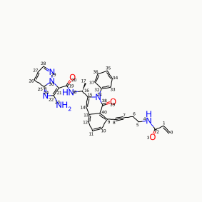 C=CC(=O)NCCC#Cc1cccc2cc([C@H](C)NC(=O)c3c(N)nc4cccnn34)n(-c3ccccc3)c(=O)c12